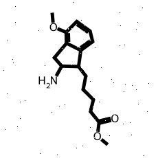 COC(=O)CCCCC1c2cccc(OC)c2CC1N